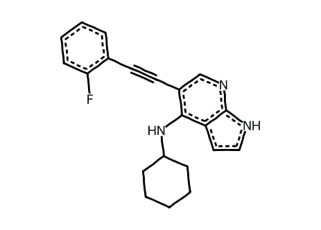 Fc1ccccc1C#Cc1cnc2[nH]ccc2c1NC1CCCCC1